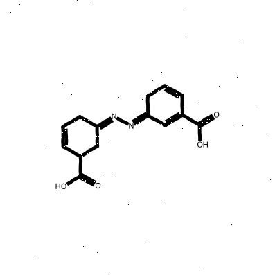 O=C(O)C1=CC(=NN=C2CC=CC(C(=O)O)C2)CC=C1